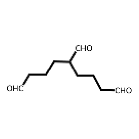 O=CCCCC(C=O)CCCC=O